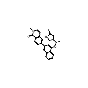 C[C@@H](Oc1cc(-c2ccc3c(=O)n(C)cnc3c2)cc2ncccc12)C1CNC(=O)C1